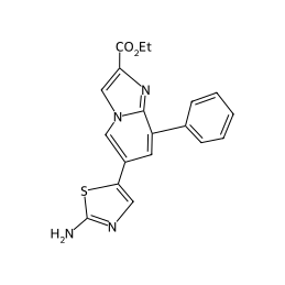 CCOC(=O)c1cn2cc(-c3cnc(N)s3)cc(-c3ccccc3)c2n1